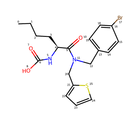 CCCC[C@H](NC(=O)O)C(=O)N(Cc1ccc(Br)cc1)Cc1cccs1